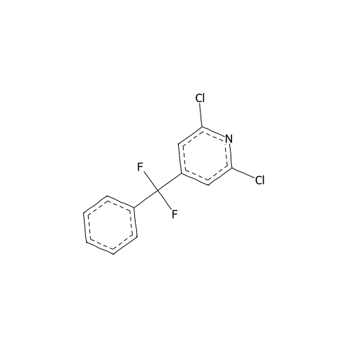 FC(F)(c1ccccc1)c1cc(Cl)nc(Cl)c1